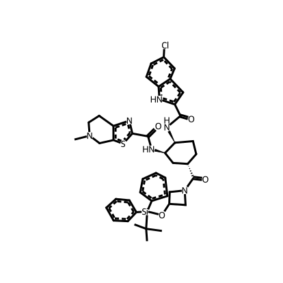 CN1CCc2nc(C(=O)N[C@@H]3C[C@@H](C(=O)N4CC(O[Si](c5ccccc5)(c5ccccc5)C(C)(C)C)C4)CC[C@@H]3NC(=O)c3cc4cc(Cl)ccc4[nH]3)sc2C1